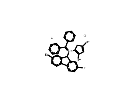 CCc1ccc2c(c1)[CH]([Zr+2]([C]1=C(C(C)C)C=C(C(C)C)C1)=[C](c1ccccc1)c1ccccc1)c1cc(CC)ccc1-2.[Cl-].[Cl-]